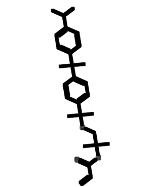 C=CC(=O)OC(C)(C)COC(C)(C)c1ccc(C(C)(C)c2ccc(C(C)C)cc2)cc1